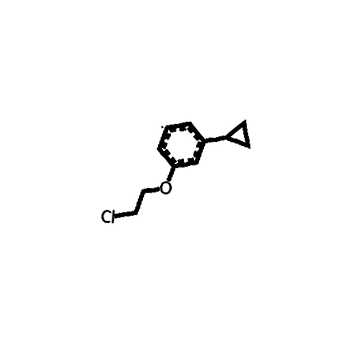 ClCCOc1c[c]cc(C2CC2)c1